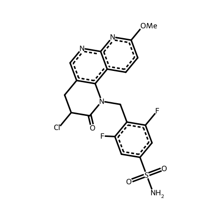 COc1ccc2c3c(cnc2n1)CC(Cl)C(=O)N3Cc1c(F)cc(S(N)(=O)=O)cc1F